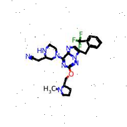 CN1CCCC1COc1nc(N2CCNC(CC#N)C2)c2ncc(Cc3ccccc3C(F)(F)F)n2n1